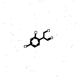 O=CC(CCl)c1ccc(Cl)cc1Cl